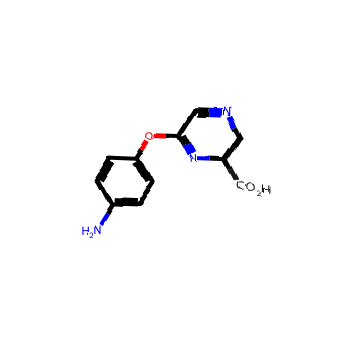 Nc1ccc(OC2=NC(C(=O)O)CN=C2)cc1